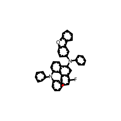 Fc1cccc2c1cc(N(c1ccccc1)c1ccc3oc4ccccc4c3c1)c1cccc(N(c3ccccc3)c3ccccc3)c12